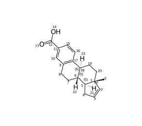 C[C@@]12C=CC[C@H]1[C@@H]1CCc3cc(C(=O)O)ccc3[C@H]1CC2